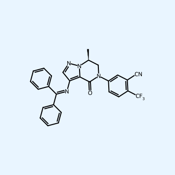 C[C@H]1CN(c2ccc(C(F)(F)F)c(C#N)c2)C(=O)c2c(N=C(c3ccccc3)c3ccccc3)cnn21